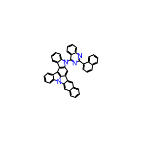 c1ccc2cc3c(cc2c1)c1cc2c(c4ccccc4n2-c2nc(-c4cccc5ccccc45)nc4ccccc24)c2c4ccccc4n3c12